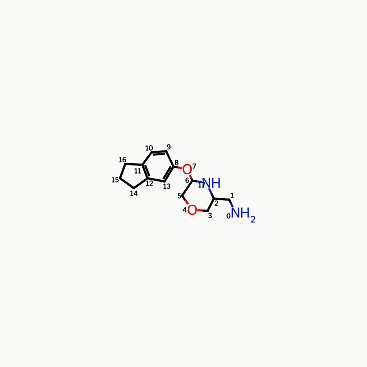 NCC1COCC(Oc2ccc3c(c2)CCC3)N1